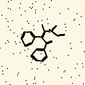 C=CN(C)/C(C)=C(\C(=C)c1ccccc1)c1ccccc1